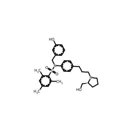 Cc1cc(C)c(S(=O)(=O)N(Cc2cccc(O)c2)c2ccc(CCCN3CCC[C@H]3CO)cc2)c(C)c1